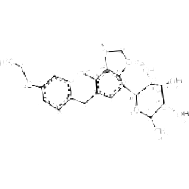 CCOc1ccc(Cc2cc([C@@H]3O[C@H](C)[C@@H](O)[C@H](O)[C@H]3O)c3c(c2Cl)OCO3)cc1